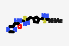 CC(=O)Nc1nnc([C@H]2CC[C@@H](Cc3nnc(NC(=O)Cc4cnccn4)s3)C2)s1